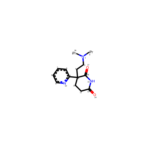 CC(C)N(CCC1(c2ccccn2)CCC(=O)NC1=O)C(C)C